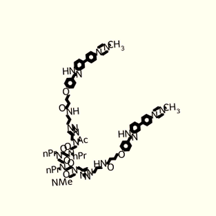 CCCN(CC(=O)N(CCC)CC(=O)N(CCC)CC(=O)N(CC(=O)NC)Cc1cn(CCCNC(=O)CCCOc2ccc(-c3nc4cc(-c5ccc(N6CCN(C)CC6)cc5)ccc4[nH]3)cc2)nn1)C(=O)CN(Cc1cn(CCCNC(=O)CCCOc2ccc(-c3nc4cc(-c5ccc(N6CCN(C)CC6)cc5)ccc4[nH]3)cc2)nn1)C(C)=O